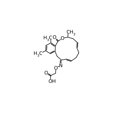 Cc1cc(C)c2c(c1)CC(=NOCC(=O)O)/C=C/CC/C=C/CC(C)OC2=O